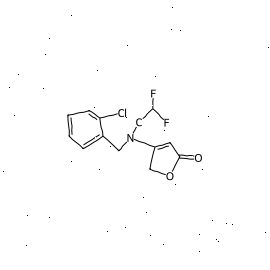 O=C1C=C(N(Cc2ccccc2Cl)CC(F)F)CO1